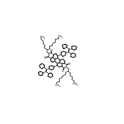 CCCCCCCCC(CCCCCC)CN1C(=O)c2ccc3c4c(-c5ccc(C(=C(c6ccccc6)c6ccccc6)c6ccccc6)cc5)cc5c6c(ccc(c7c(-c8ccc(C(=C(c9ccccc9)c9ccccc9)c9ccccc9)cc8)cc(c2c37)C1=O)c64)C(=O)N(CC(CCCCCC)CCCCCCCC)C5=O